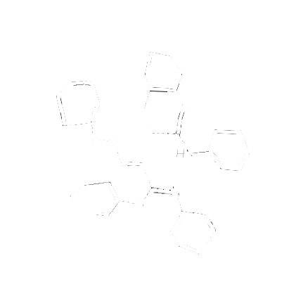 C(=C\C(=N\c1ccccc1)Oc1ccccc1)/SSc1ccccc1.S=C(/C=C\c1ccccc1)Nc1ccccc1